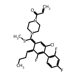 C=CC(=O)N1CCN(/C(SC)=c2\cc(Cl)c(-c3ccc(F)cc3F)c(F)\c2=C/CCC)CC1